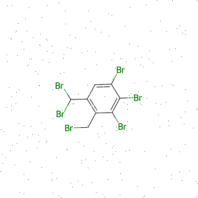 BrCc1c(C(Br)Br)cc(Br)c(Br)c1Br